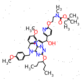 CCCC(CCC)Oc1nc(N(Cc2ccc(OC)cc2)Cc2ccc(OC)cc2)c2ncc(C(O)c3ccc(OCCN(C)C(=O)OC(C)(C)C)nc3)n2n1